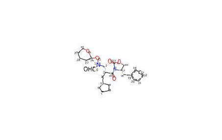 O=CN(C[C@@H](CC1CCCC1)C(=O)N1C(=O)OC[C@@H]1Cc1ccccc1)OC1CCCCO1